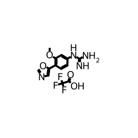 COc1cc(NC(=N)N)ccc1-c1cnco1.O=C(O)C(F)(F)F